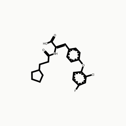 O=C(CCC1CCCC1)N/C(=C\c1ccc(Oc2ccc(F)cc2Cl)cc1)C(=O)O